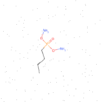 CCCCP(=O)(ON)ON